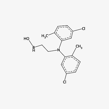 Cc1ccc(Cl)cc1N(CCBO)c1cc(Cl)ccc1C